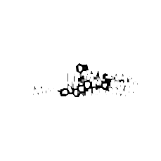 C1=Cc2ccccc21.COC(=O)[C@H]1[C@H]2C[C@@H]3c4[nH]c5cc(OC)ccc5c4CCN3C[C@H]2C[C@@H](OC(=O)c2cc(OC)c(OC)c(OC)c2)[C@@H]1OC